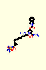 CN(C)S(=O)(=O)NC(=O)[C@H]1C[C@H]1/C=C\CCCCC[C@H](N)C(=O)N1C[C@H](OC(=O)N2Cc3ccccc3C2)C[C@H]1C(N)=O